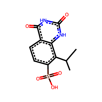 CC(C)c1c(S(=O)(=O)O)ccc2c(=O)[nH]c(=O)[nH]c12